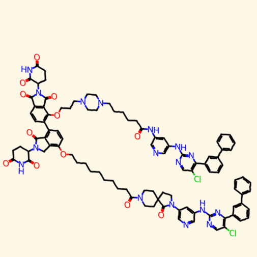 O=C1CCC(N2Cc3c(OCCCCCCCCCC(=O)N4CCC5(CC4)CCN(c4cncc(Nc6ncc(Cl)c(-c7cccc(-c8ccccc8)c7)n6)c4)C5=O)ccc(-c4ccc5c(c4OCCCN4CCN(CCCCCC(=O)Nc6cncc(Nc7ncc(Cl)c(-c8cccc(-c9ccccc9)c8)n7)c6)CC4)C(=O)N(C4CCC(=O)NC4=O)C5=O)c3C2=O)C(=O)N1